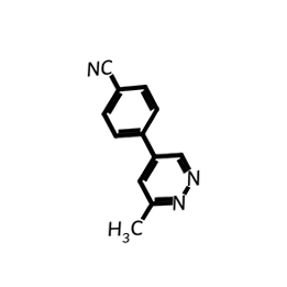 Cc1cc(-c2ccc(C#N)cc2)cnn1